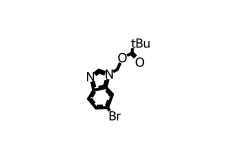 CC(C)(C)C(=O)OCn1cnc2ccc(Br)cc21